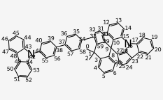 CC1(C)c2ccccc2C2(c3ccccc3-n3c4ccccc4c4cccc2c43)c2cccc(-c3ccc(-c4ccc(-n5c6ccccc6c6ccccc65)cc4)cc3)c21